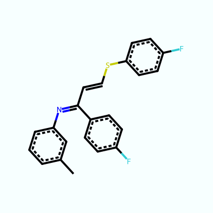 Cc1cccc(N=C(C=CSc2ccc(F)cc2)c2ccc(F)cc2)c1